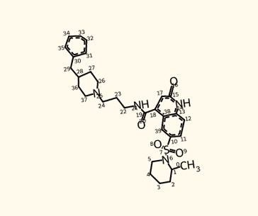 CC1CCCCN1S(=O)(=O)c1ccc2[nH]c(=O)cc(C(=O)NCCCN3CCC(Cc4ccccc4)CC3)c2c1